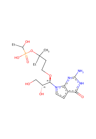 CCC(O)P(=O)(O)OC(C)(CC)CCO[C@H]([C@H](O)CO)n1ccc2c(=O)[nH]c(N)nc21